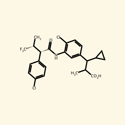 CC(C(=O)O)C(c1ccc(Cl)c(NC(=O)[C@H](c2ccc(Cl)cc2)[C@@H](C)C(F)(F)F)c1)C1CC1